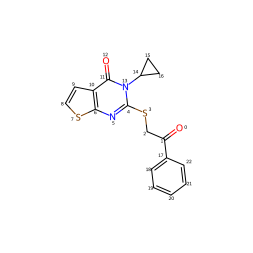 O=C(CSc1nc2sccc2c(=O)n1C1CC1)c1ccccc1